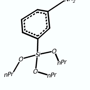 CCCO[Si](OCCC)(OCCC)c1cccc(N)c1